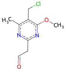 COc1nc(CC=O)nc(C)c1CCl